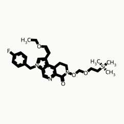 CCO/C=C\c1cn(Cc2ccc(F)cc2)c2cnc3c(c12)CCN(OCOCC[Si](C)(C)C)C3=O